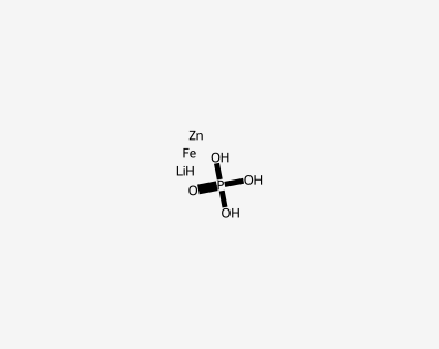 O=P(O)(O)O.[Fe].[LiH].[Zn]